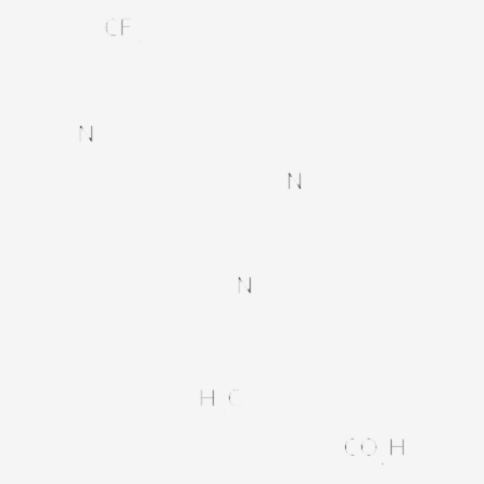 Cc1c(CC(=O)O)c2cccnc2n1Cc1ccc(C(F)(F)F)nc1